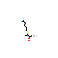 CC(C)COC(=O)C(C)SCCCCC(F)F